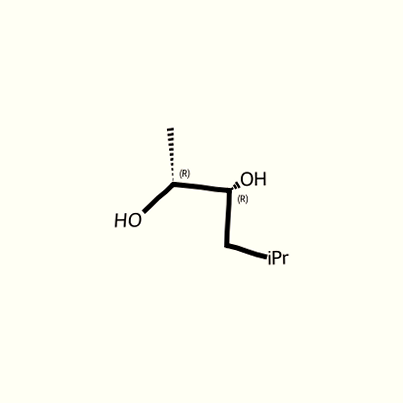 CC(C)C[C@@H](O)[C@@H](C)O